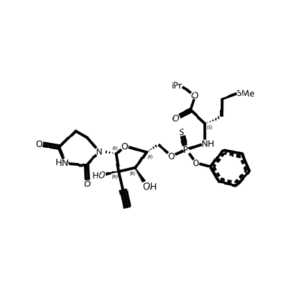 C#C[C@@]1(O)[C@H](O)[C@@H](COP(=S)(N[C@@H](CCSC)C(=O)OC(C)C)Oc2ccccc2)O[C@H]1N1CCC(=O)NC1=O